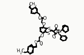 C=Cc1ccc(COC(=O)COc2ccc(OCC(=O)OCc3ccc(C=C)cc3)c3c2SC(=C2C(=O)N(c4ccccc4)N(c4ccccc4)C2=O)S3)cc1